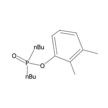 CCCCP(=O)(CCCC)Oc1cccc(C)c1C